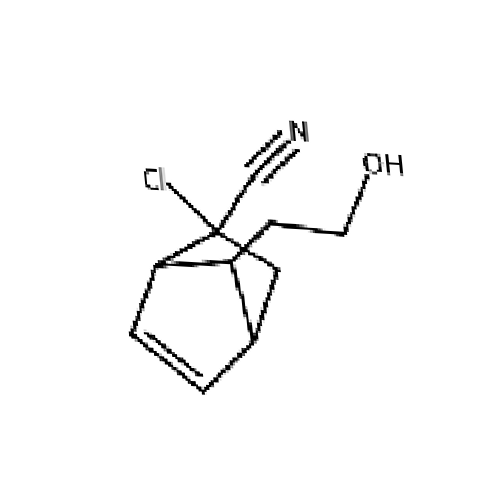 N#CC1(Cl)CC2C=CC1C2CCO